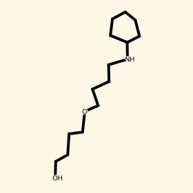 OCCCCOCCCCNC1CCCCC1